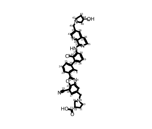 Cc1c(-c2nc3cc(CN4CC[C@H](C(=O)O)C4)cc(C#N)c3o2)cccc1-c1cccc(Nc2nccc3cc(CN4CC[C@@H](O)C4)cnc23)c1Cl